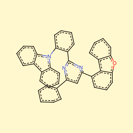 c1ccc(-c2cc(-c3cccc4oc5ccccc5c34)nc(-c3ccccc3-n3c4ccccc4c4ccccc43)n2)cc1